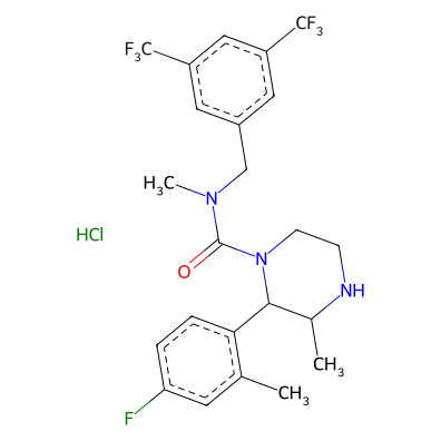 Cc1cc(F)ccc1C1C(C)NCCN1C(=O)N(C)Cc1cc(C(F)(F)F)cc(C(F)(F)F)c1.Cl